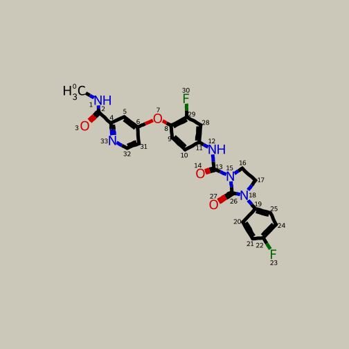 CNC(=O)c1cc(Oc2ccc(NC(=O)N3CCN(c4ccc(F)cc4)C3=O)cc2F)ccn1